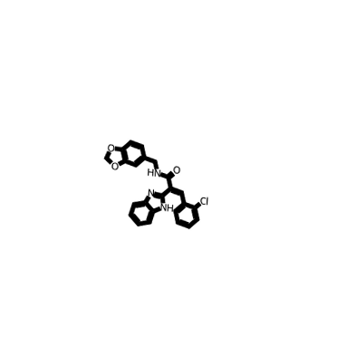 O=C(NCc1ccc2c(c1)OCO2)/C(=C/c1ccccc1Cl)c1nc2ccccc2[nH]1